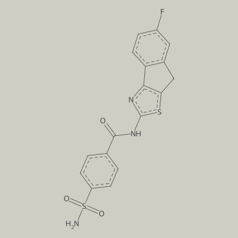 NS(=O)(=O)c1ccc(C(=O)Nc2nc3c(s2)Cc2cc(F)ccc2-3)cc1